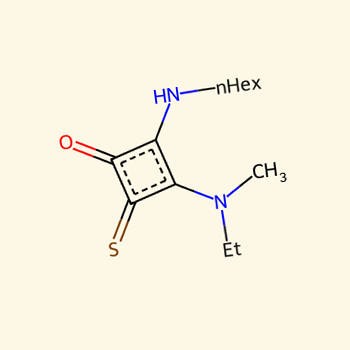 CCCCCCNc1c(N(C)CC)c(=S)c1=O